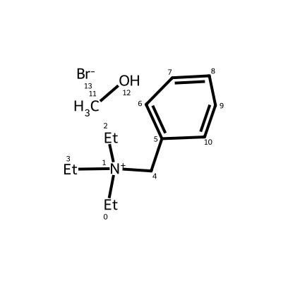 CC[N+](CC)(CC)Cc1ccccc1.CO.[Br-]